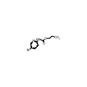 CCCOC(=O)Nc1ccc(Br)cn1